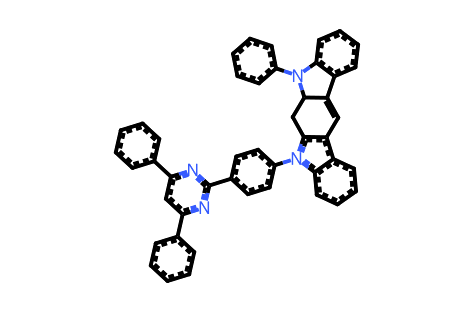 C1=C2c3ccccc3N(c3ccccc3)C2Cc2c1c1ccccc1n2-c1ccc(-c2nc(-c3ccccc3)cc(-c3ccccc3)n2)cc1